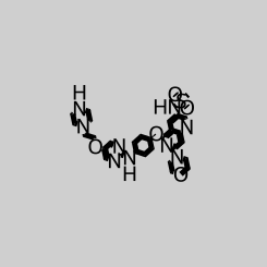 CS(=O)(=O)Nc1cnc2cc(N3CCOCC3)nc(O[C@H]3CC[C@@H](Nc4ncc(OCCN5CCNCC5)cn4)CC3)c2c1